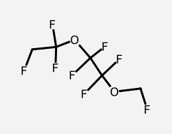 FCOC(F)(F)C(F)(F)OC(F)(F)CF